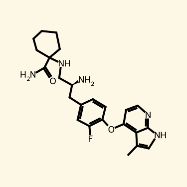 Cc1c[nH]c2nccc(Oc3ccc(C[C@H](N)CNC4(C(N)=O)CCCCC4)cc3F)c12